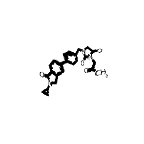 CC(=O)CN1C(=O)CN(Cc2ccc(-c3ccc4c(c3)CN(C3CC3)C4=O)cc2)C1=O